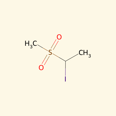 CC(I)S(C)(=O)=O